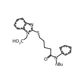 CCCCN(C(=O)CCCCSc1nc2ccccc2n1CC(=O)O)c1ccccc1